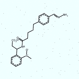 C[S+]([O-])c1ccccc1C(CC(=O)O)NC(=O)CCCCc1ccc(C=NN)cc1